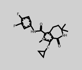 Cn1c(CC2CC2)c2c(c1C(=O)Nc1ccc(F)c(F)c1)CCC(C)(C)NC2=O